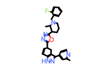 Cc1cc(-c2n[nH]c3c2CC(c2nnc(C4CCCN(Cc5ccccc5F)C4C)o2)C=C3)ccn1